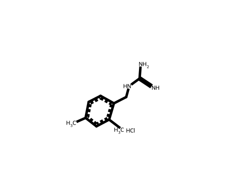 Cc1ccc(CNC(=N)N)c(C)c1.Cl